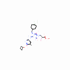 COC(=O)[C@@H](I)Cn1c(=O)[nH]/c(=N\c2cnc(OC3CCC3)c(C)c2)n(Cc2ccc(Cl)cc2)c1=O